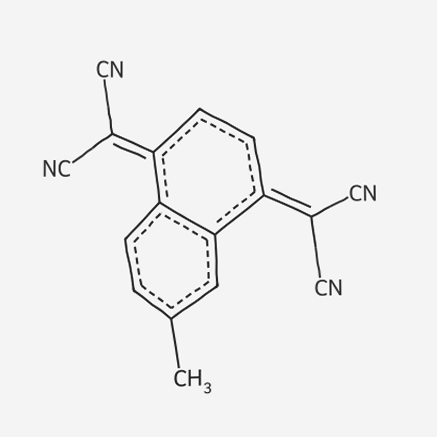 Cc1ccc2c(=C(C#N)C#N)ccc(=C(C#N)C#N)c2c1